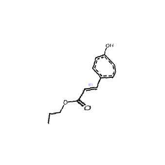 CCCOC(=O)/C=C/c1ccc(O)cc1